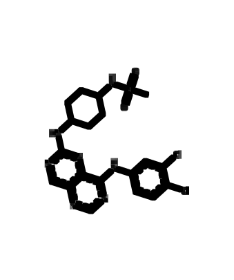 CS(=O)(=O)NC1CCC(Nc2ncc3ncnc(Nc4ccc(Cl)c(Cl)c4)c3n2)CC1